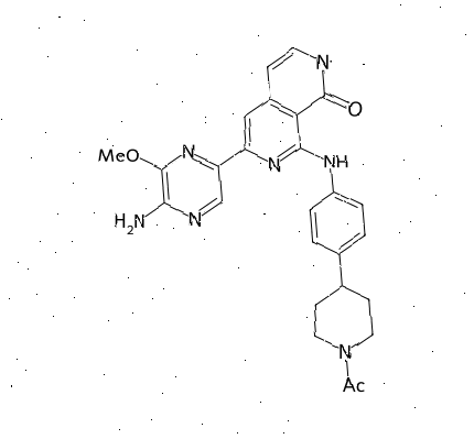 COc1nc(-c2cc3c(c(Nc4ccc(C5CCN(C(C)=O)CC5)cc4)n2)C(=O)[N]C=C3)cnc1N